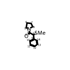 CSC(C(=O)N1CCCC1)c1ccccc1